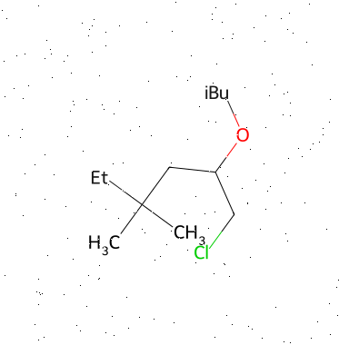 CCC(C)OC(CCl)CC(C)(C)CC